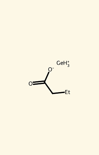 CCCC(=O)[O-].[GeH3+]